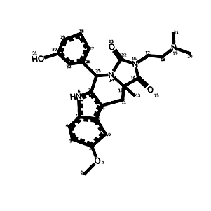 COc1ccc2[nH]c3c(c2c1)CC1(C)C(=O)N(CCN(C)C)C(=O)N1C3c1cccc(O)c1